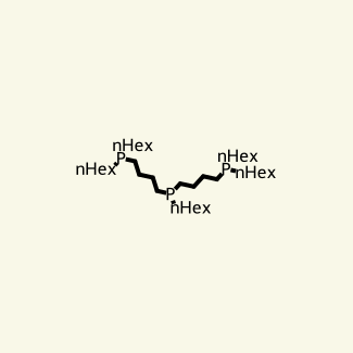 CCCCCCP(CCCCCC)CCCCP(CCCCCC)CCCCP(CCCCCC)CCCCCC